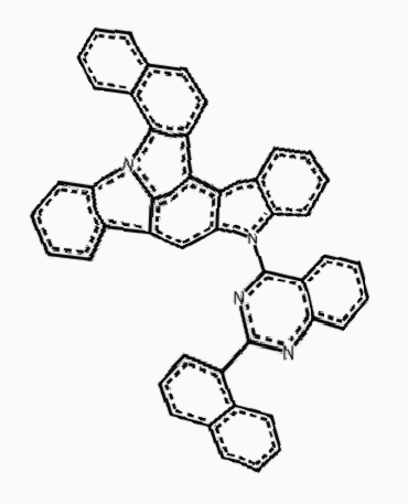 c1ccc2c(-c3nc(-n4c5ccccc5c5c6c7ccc8ccccc8c7n7c8ccccc8c(cc54)c67)c4ccccc4n3)cccc2c1